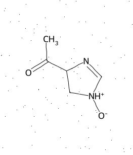 CC(=O)C1C[NH+]([O-])C=N1